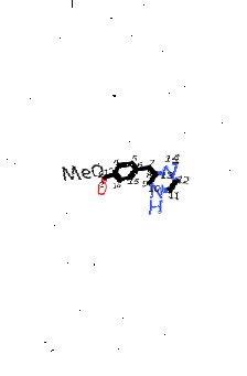 COC(=O)c1ccc(CC2CNCCN2C)cc1